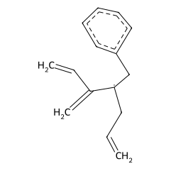 C=CC[C](Cc1ccccc1)C(=C)C=C